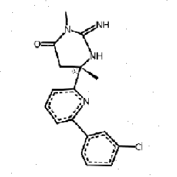 CN1C(=N)N[C@](C)(c2cccc(-c3cccc(Cl)c3)n2)CC1=O